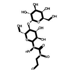 CCCN(C(=O)N(CCCl)N=O)C1O[C@H](CO)[C@@H](O[C@H]2O[C@H](CO)[C@@H](O)[C@H](O)[C@H]2O)[C@H](O)[C@H]1O